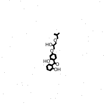 C=C(C)COCC(O)COc1ccc(C(=O)c2ccccc2O)c(O)c1